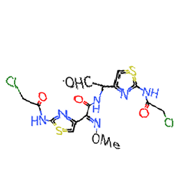 CON=C(C(=O)NC([C]=O)c1csc(NC(=O)CCl)n1)c1csc(NC(=O)CCl)n1